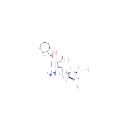 CCOc1nc(N)nc2c1ncn2[C@@H]1O[C@@H]2COP(=O)(NC3CCCCCC3)O[C@H]2[C@@]1(C)N=[N+]=[N-]